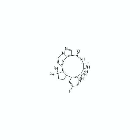 [2H]C1([2H])CCC2c3cc(F)cnc3C([2H])([2H])C([2H])([2H])[C@@H](C)NC(=O)c3cnn4ccc(nc34)N21